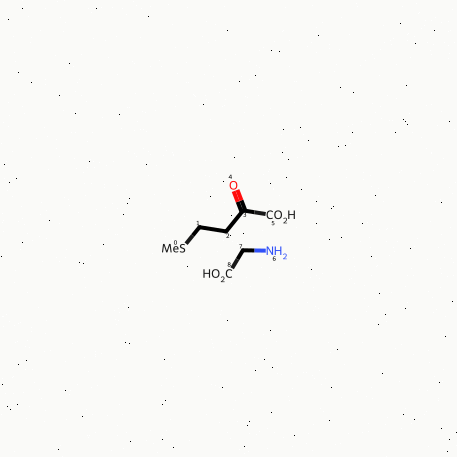 CSCCC(=O)C(=O)O.NCC(=O)O